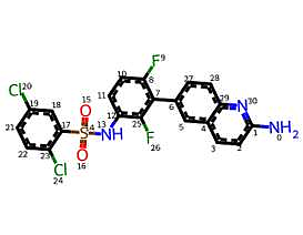 Nc1ccc2cc(-c3c(F)ccc(NS(=O)(=O)c4cc(Cl)ccc4Cl)c3F)ccc2n1